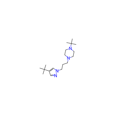 CC(C)(C)c1cnn(CCCN2CCN(C(C)(C)C)CC2)c1